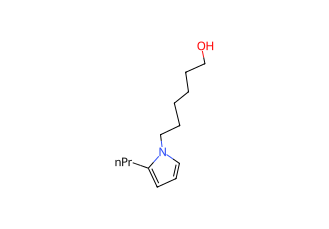 CCCc1cccn1CCCCCCO